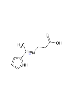 C/C(=N\CCC(=O)O)c1ccc[nH]1